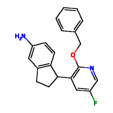 Nc1ccc2c(c1)CCC2c1cc(F)cnc1OCc1ccccc1